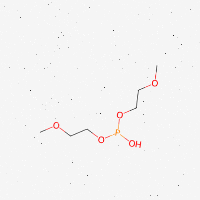 COCCOP(O)OCCOC